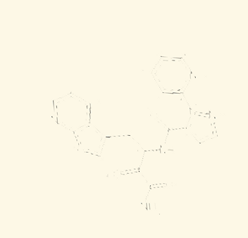 NC(=O)C(=O)C(Cc1coc2ncccc12)NC(=O)c1ccnn1-c1ccccn1